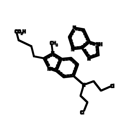 Cn1c(CCCC(=O)O)nc2cc(N(CCCl)CCCl)ccc21.c1ncc2[nH]cnc2n1